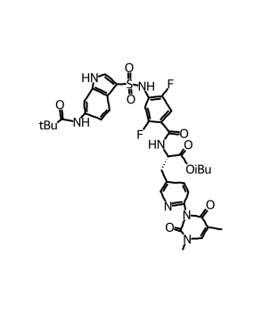 Cc1cn(C)c(=O)n(-c2ccc(C[C@H](NC(=O)c3cc(F)c(NS(=O)(=O)c4c[nH]c5cc(NC(=O)C(C)(C)C)ccc45)cc3F)C(=O)OCC(C)C)cn2)c1=O